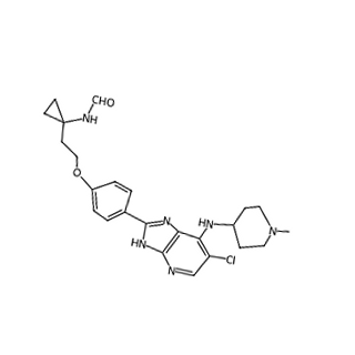 CN1CCC(Nc2c(Cl)cnc3[nH]c(-c4ccc(OCCC5(NC=O)CC5)cc4)nc23)CC1